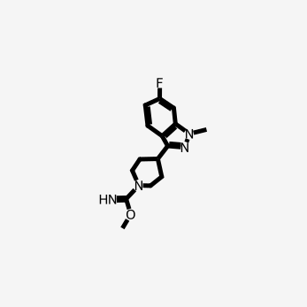 COC(=N)N1CCC(c2nn(C)c3cc(F)ccc23)CC1